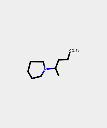 CCOC(=O)CCC(C)N1CCCCC1